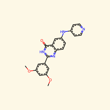 COc1cc(OC)cc(-c2nc3ccc(Nc4ccncc4)cc3c(=O)[nH]2)c1